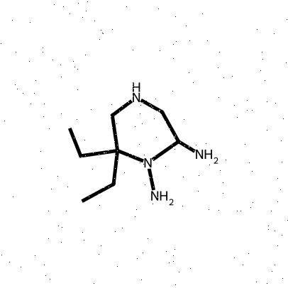 CCC1(CC)CNCC(N)N1N